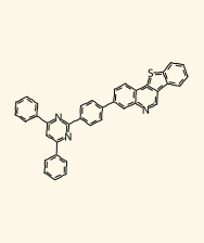 c1ccc(-c2cc(-c3ccccc3)nc(-c3ccc(-c4ccc5c(c4)ncc4c6ccccc6sc54)cc3)n2)cc1